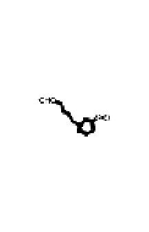 CCOc1cccc(CCCC[C]=O)c1